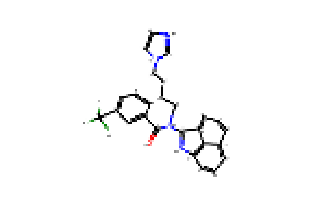 O=C(c1cccc(C(F)(F)F)c1)N(CCCCn1ccnc1)C1=Nc2cccc3cccc1c23